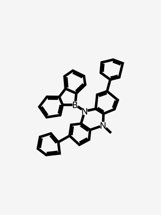 CN1c2ccc(-c3ccccc3)cc2N(B2c3ccccc3-c3ccccc32)c2cc(-c3ccccc3)ccc21